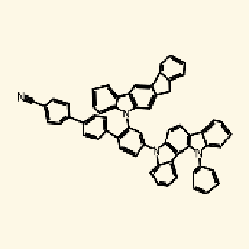 N#Cc1ccc(-c2ccc(-c3ccc(-n4c5ccccc5c5c4ccc4c6ccccc6n(-c6ccccc6)c45)cc3-n3c4ccccc4c4cc5c(cc43)Cc3ccccc3-5)cc2)cc1